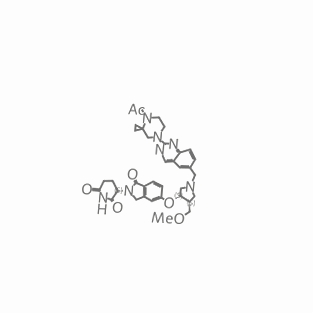 COC[C@@H]1CN(Cc2ccc3nc(N4CCN(C(C)=O)C5(CC5)C4)ncc3c2)C[C@H]1Oc1ccc2c(c1)CN([C@H]1CCC(=O)NC1=O)C2=O